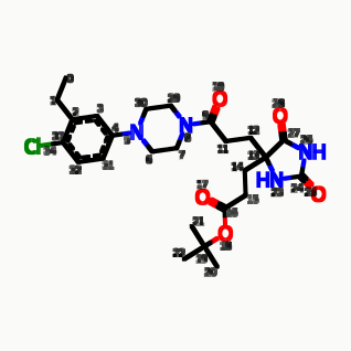 CCc1cc(N2CCN(C(=O)CCC3(CCC(=O)OC(C)(C)C)NC(=O)NC3=O)CC2)ccc1Cl